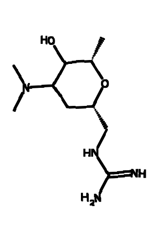 C[C@@H]1O[C@H](CNC(=N)N)CC(N(C)C)C1O